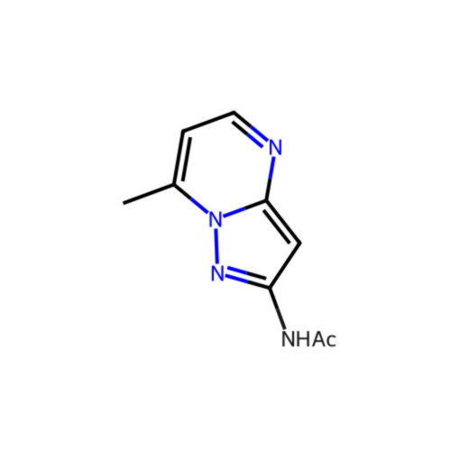 CC(=O)Nc1cc2nccc(C)n2n1